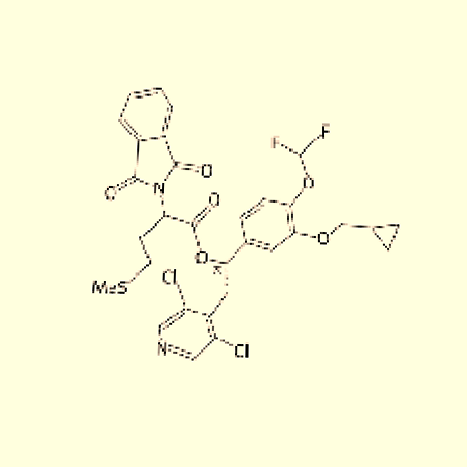 CSCCC(C(=O)O[C@@H](Cc1c(Cl)cncc1Cl)c1ccc(OC(F)F)c(OCC2CC2)c1)N1C(=O)c2ccccc2C1=O